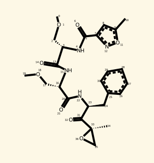 COC[C@H](NC(=O)c1cc(C)on1)C(=O)N[C@@H](COC)C(=O)N[C@@H](Cc1ccccc1)C(=O)[C@@]1(C)CO1